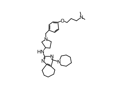 CN(C)CCCOc1ccc(CN2CCC(Nc3nc4c(c(N5CCCCCC5)n3)CCCCC4)C2)cc1